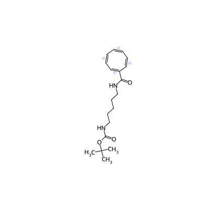 CC(C)(C)OC(=O)NCCCCCNC(=O)C1=C/C=C\C=C/C=C\1